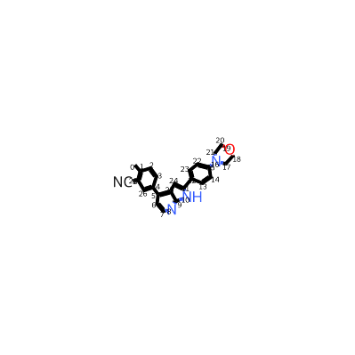 Cc1ccc(-c2ccnc3[nH]c(-c4ccc(N5CCOCC5)cc4)cc23)cc1C#N